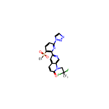 CCS(=O)(=O)c1ccc(-n2ccnn2)nc1-c1cc2ccc(=O)n(CC(F)(F)C(F)(F)F)c2cn1